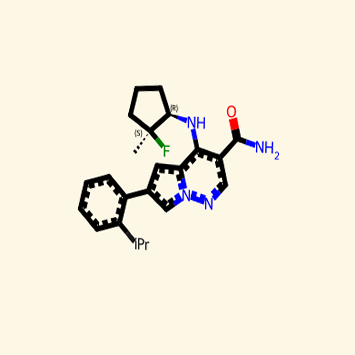 CC(C)c1ccccc1-c1cc2c(N[C@@H]3CCC[C@]3(C)F)c(C(N)=O)cnn2c1